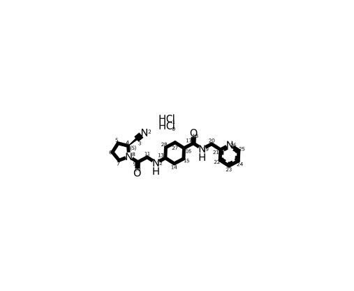 Cl.Cl.N#C[C@@H]1CCCN1C(=O)CNC1CCC(C(=O)NCc2ccccn2)CC1